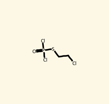 O=P(Cl)(Cl)SCCCl